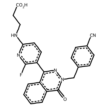 N#Cc1ccc(Cn2nc(-c3ccc(NCCC(=O)O)nc3F)c3ccccc3c2=O)cc1